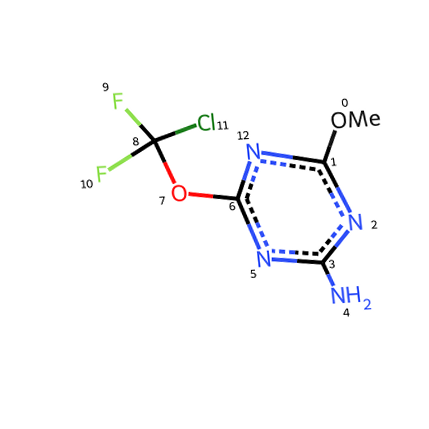 COc1nc(N)nc(OC(F)(F)Cl)n1